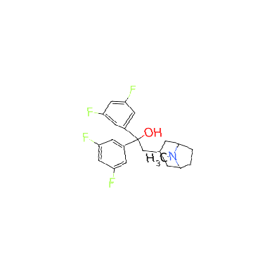 CN1C2CCC1CC(CC(O)(c1cc(F)cc(F)c1)c1cc(F)cc(F)c1)C2